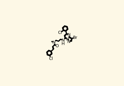 CN(CCCNc1cc(-c2ccccc2Cl)nc2c(Br)cnn12)C(=O)/C=C/c1cccc(Cl)c1